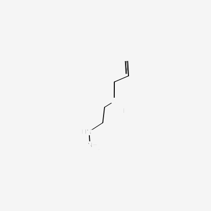 C=CCSCCNN.Cl